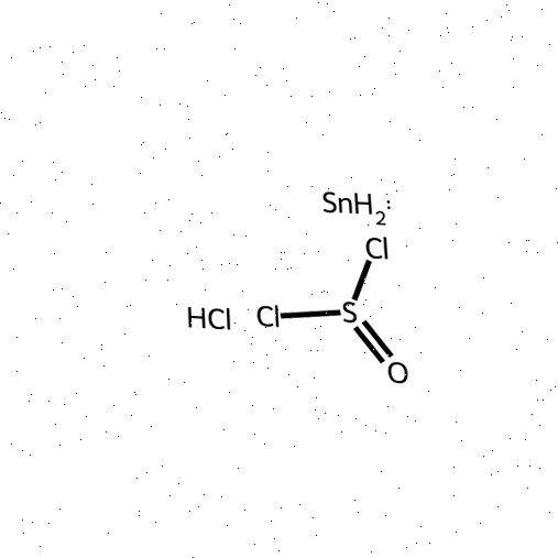 Cl.O=S(Cl)Cl.[SnH2]